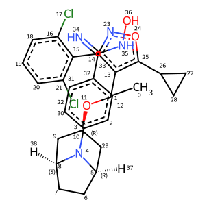 Cc1cc(N2[C@@H]3CC[C@H]2C[C@@H](OCc2c(-c4c(Cl)cccc4Cl)noc2C2CC2)C3)ccc1C(=N)NO